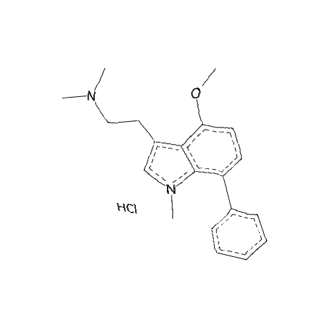 COc1ccc(-c2ccccc2)c2c1c(CCN(C)C)cn2C.Cl